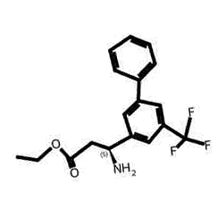 CCOC(=O)C[C@H](N)c1cc(-c2ccccc2)cc(C(F)(F)F)c1